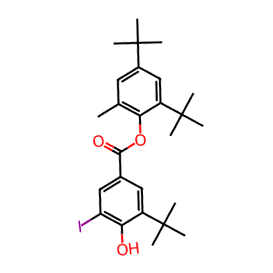 Cc1cc(C(C)(C)C)cc(C(C)(C)C)c1OC(=O)c1cc(I)c(O)c(C(C)(C)C)c1